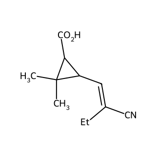 CC/C(C#N)=C\C1C(C(=O)O)C1(C)C